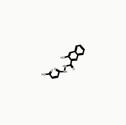 O=C(O)/C=C\C(=O)NNC(=O)c1cc2ccccc2cc1O